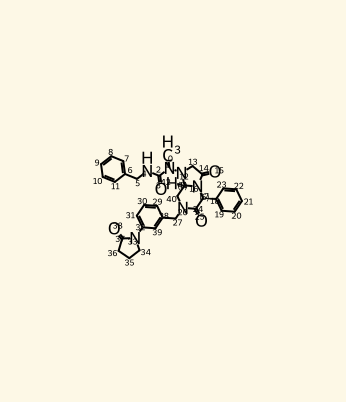 CN(C(=O)NCc1ccccc1)N1CC(=O)N2[C@@H](c3ccccc3)C(=O)N(Cc3cccc(N4CCCC4=O)c3)C[C@@H]21